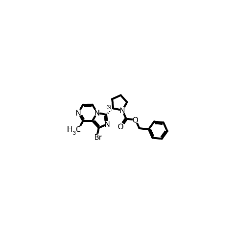 Cc1nccn2c([C@@H]3CCCN3C(=O)OCc3ccccc3)nc(Br)c12